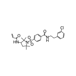 C=CC(=O)NC1CC(C)(C)N(S(=O)(=O)c2ccc(C(=O)NCCc3cccc(Cl)c3)cc2)C1(C)C